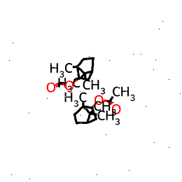 CC(=O)OC1CC2CCC1(C)C2(C)C.CC1(C)C2CCC1(C)C(OC=O)C2